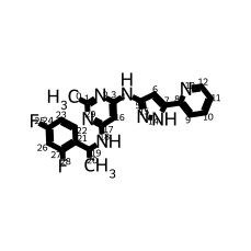 Cc1nc(Nc2cc(-c3ccccn3)[nH]n2)cc(NC(C)c2ccc(F)cc2F)n1